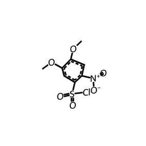 COc1cc([N+](=O)[O-])c(S(=O)(=O)Cl)cc1OC